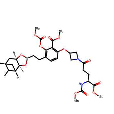 CC1[C@@H]2C[C@H]3OB(CCc4ccc(OC5CN(C(=O)CC[C@H](NC(=O)OC(C)(C)C)C(=O)OC(C)(C)C)C5)c(C(=O)OC(C)(C)C)c4OC(=O)OC(C)(C)C)O[C@@]3(C)[C@H]1C2